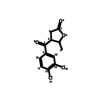 CC1OC(=O)CC1C(=O)c1ccc(Cl)c(Cl)c1